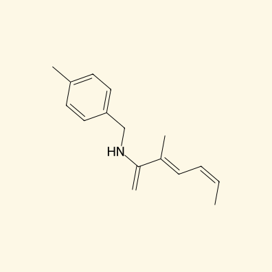 C=C(NCc1ccc(C)cc1)/C(C)=C/C=C\C